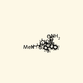 CNCCCC(=O)N1CCC[C@@H]([C@@](O)(CCCOC(N)=O)c2cccc(F)c2-c2cnc3ccccc3c2)C1